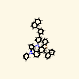 c1ccc(-n2c3ccccc3c3c(N(c4ccc(-c5cccc(-c6cccc7ccccc67)c5)cc4)c4ccc(-c5cccc6ccccc56)c5sc6ccccc6c45)cccc32)cc1